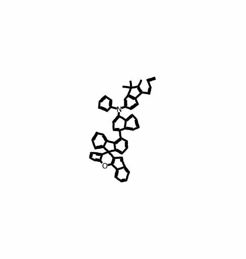 C=C/C=C\C1=C(C)C(C)(C)c2cc(N(c3ccccc3)c3ccc(-c4cccc5c4-c4ccccc4C54c5ccccc5Oc5c4ccc4ccccc54)c4ccccc34)ccc21